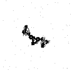 CC(C)(C)OC(=O)N1CCC[C@@H]1c1ncc(-c2ccc3c(c2)cc2n3CC3(CCC3)COc3cc(-c4cnc([C@H]5C[C@H](F)CN5C(=O)OC(C)(C)C)[nH]4)ccc3-2)[nH]1